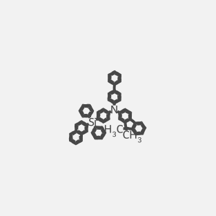 CC1(C)c2ccccc2-c2ccc(N(c3ccc(-c4ccccc4)cc3)c3ccc([Si](c4ccccc4)(c4ccccc4)c4ccc5ccccc5c4)cc3)cc21